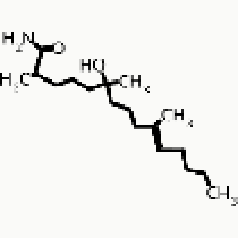 CCCC/C=C(\C)CCCC(C)(O)CCCC(C)C(N)=O